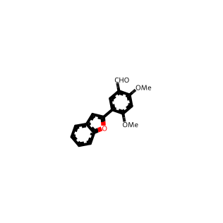 COc1cc(OC)c(-c2cc3ccccc3o2)cc1C=O